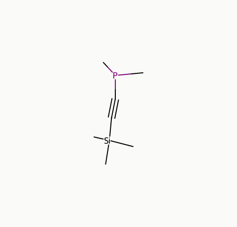 CP(C)C#C[Si](C)(C)C